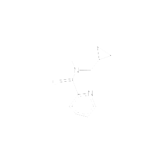 CN(CC1CC1)C(=O)c1ccccn1